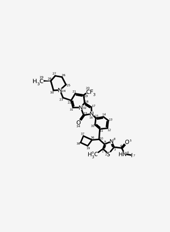 Cc1sc(C(=O)NI)nc1C(c1cccc(-n2cc3c(C(F)(F)F)cc(CN4CCC[C@H](C)C4)cn3c2=O)c1)C1CCC1